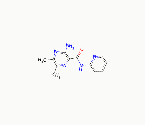 Cc1nc(N)c(C(=O)Nc2ccccn2)nc1C